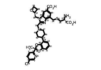 C[C@]1(c2ccc(Cl)cn2)Oc2cccc(C3CCN(Cc4nc5c(CSC[C@H](N)C(=O)O)cc(C(=O)O)cc5n4C[C@@H]4CCO4)CC3)c2O1